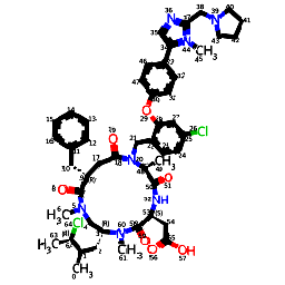 CC(C[C@@H]1CN(C)C(=O)[C@H](Cc2ccccc2)CC(=O)N(Cc2ccc(Cl)cc2Oc2ccc(-c3cnc(CN4CCCC4)n3C)cc2)[C@@H](C)C(=O)N[C@@H](CC(=O)O)C(=O)N1C)[C@@H](C)Cl